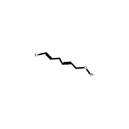 CC/C=C/C/C=C/COC(C)C